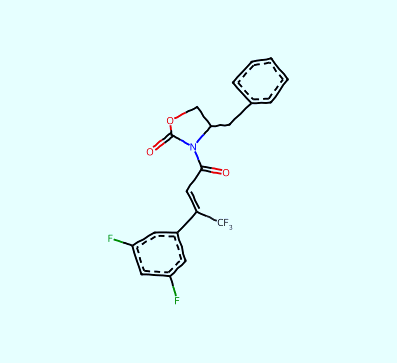 O=C(C=C(c1cc(F)cc(F)c1)C(F)(F)F)N1C(=O)OCC1Cc1ccccc1